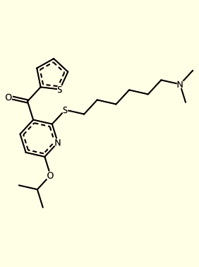 CC(C)Oc1ccc(C(=O)c2cccs2)c(SCCCCCCN(C)C)n1